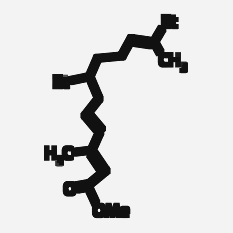 CC/C(C)=C/CCC(CC)C/C=C/C(C)=C/C(=O)OC